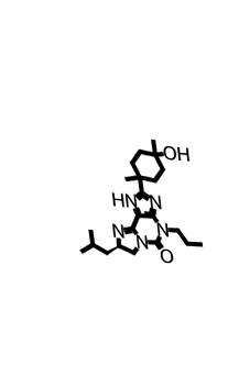 CCCN1C(=O)N2C[C@@H](CC(C)C)N=C2c2[nH]c(C3(C)CCC(C)(O)CC3)nc21